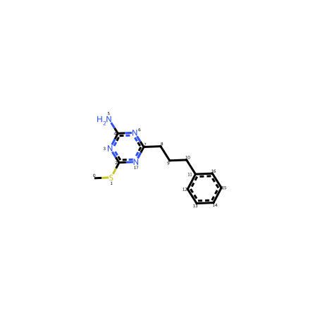 CSc1nc(N)nc(CCCc2ccccc2)n1